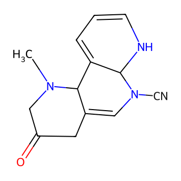 CN1CC(=O)CC2=CN(C#N)C3NC=CC=C3C21